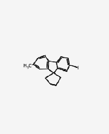 Cc1ccc2c(c1)C1(CCCC1)c1cc(I)ccc1-2